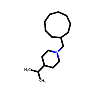 CC(C)C1CCN(CC2CCCCCCCC2)CC1